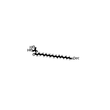 CCCCCCCCCCCCCCCCCCCCCCCCCCCCCCCC(=O)OC(CO)CO